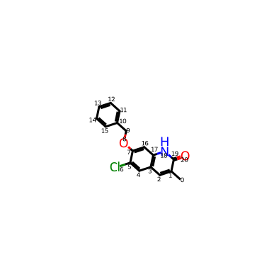 Cc1cc2cc(Cl)c(OCc3ccccc3)cc2[nH]c1=O